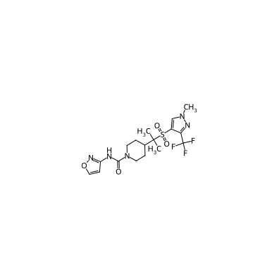 Cn1cc(S(=O)(=O)C(C)(C)C2CCN(C(=O)Nc3ccon3)CC2)c(C(F)(F)F)n1